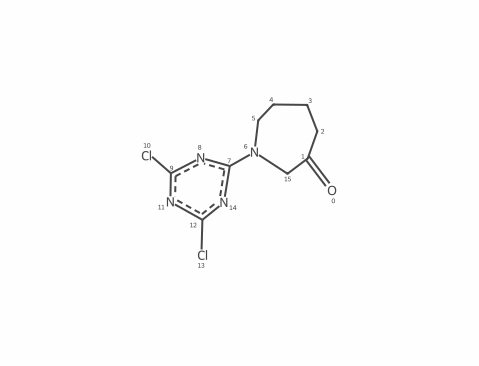 O=C1CCCCN(c2nc(Cl)nc(Cl)n2)C1